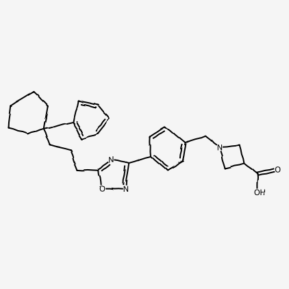 O=C(O)C1CN(Cc2ccc(-c3noc(CCCC4(c5ccccc5)CCCCC4)n3)cc2)C1